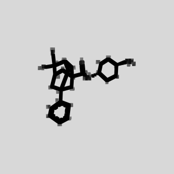 N[C@H]1CC[C@H](NC(=O)C23CC4CC(c5ccccc5)(CC(C2)C4(F)F)C3)CC1